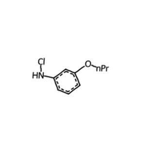 CCCOc1cccc(NCl)c1